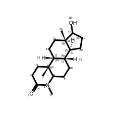 CN1C(=O)CC[C@@]2(C)C1CC[C@@H]1[C@H]2CC[C@]2(C)C(O)CC[C@@H]12